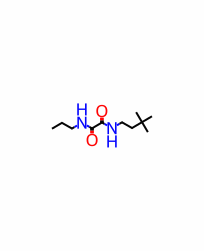 CCCNC(=O)C(=O)NCCC(C)(C)C